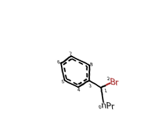 CCCC(Br)c1ccccc1